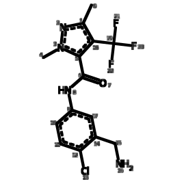 Cc1nn(C)c(C(=O)Nc2ccc(Cl)c(CN)c2)c1C(F)(F)F